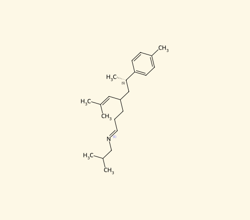 CC(C)=CC(CC/C=N/CC(C)C)C[C@H](C)c1ccc(C)cc1